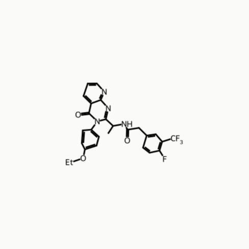 CCOc1ccc(-n2c(C(C)NC(=O)Cc3ccc(F)c(C(F)(F)F)c3)nc3ncccc3c2=O)cc1